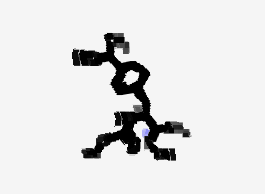 CC(O)c1ccc(C[C@H](NC(=O)OC(C)(C)C)/C(N)=N/O)cc1